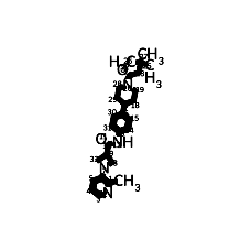 Cc1ncccc1N1CC(C(=O)Nc2ccc(C3CCN(C(=O)CC(C)(C)C)CC3)cc2)C1